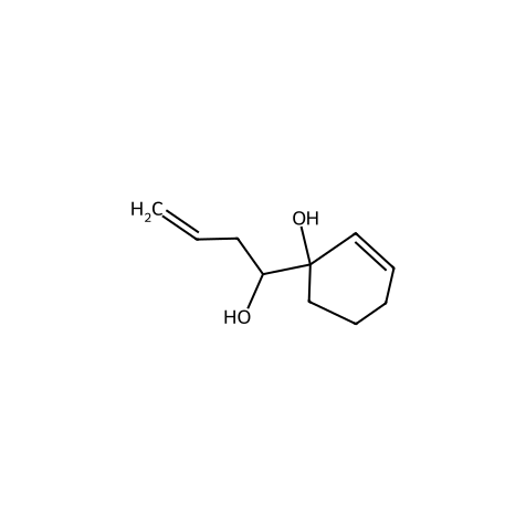 C=CCC(O)C1(O)C=CCCC1